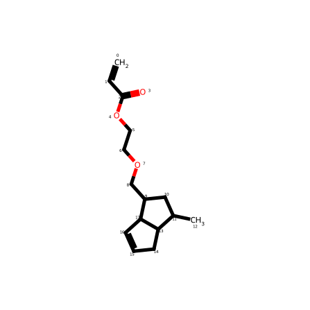 C=CC(=O)OCCOCC1CC(C)C2CC=CC12